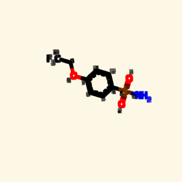 NS(=O)(=O)c1ccc(OCC(F)(F)F)cc1